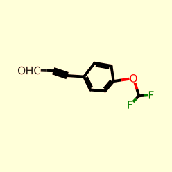 O=CC#Cc1ccc(OC(F)F)cc1